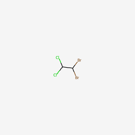 Cl[C](Cl)C(Br)Br